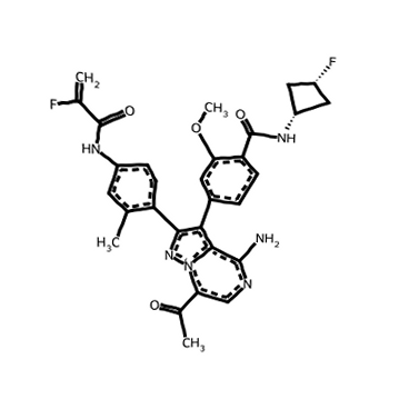 C=C(F)C(=O)Nc1ccc(-c2nn3c(C(C)=O)cnc(N)c3c2-c2ccc(C(=O)N[C@H]3C[C@@H](F)C3)c(OC)c2)c(C)c1